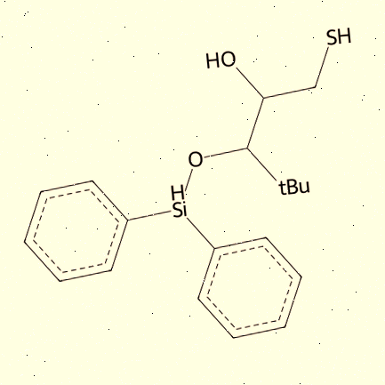 CC(C)(C)C(O[SiH](c1ccccc1)c1ccccc1)C(O)CS